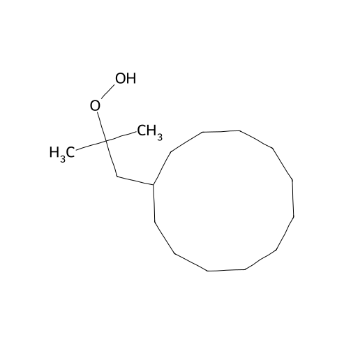 CC(C)(CC1CCCCCCCCCCC1)OO